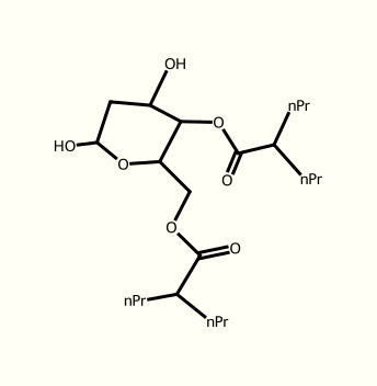 CCCC(CCC)C(=O)OCC1OC(O)CC(O)C1OC(=O)C(CCC)CCC